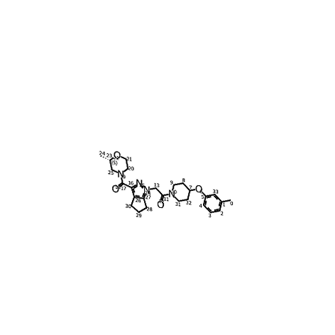 Cc1cccc(OC2CCN(C(=O)Cn3nc(C(=O)N4CCO[C@@H](C)C4)c4c3CCC4)CC2)c1